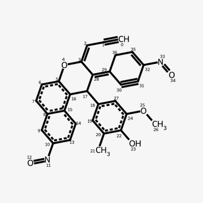 C#C/C=C1/Oc2ccc3cc(N=O)ccc3c2C(c2cc(C)c(O)c(OC)c2)/C1=C1\C#CC(N=O)=CC1